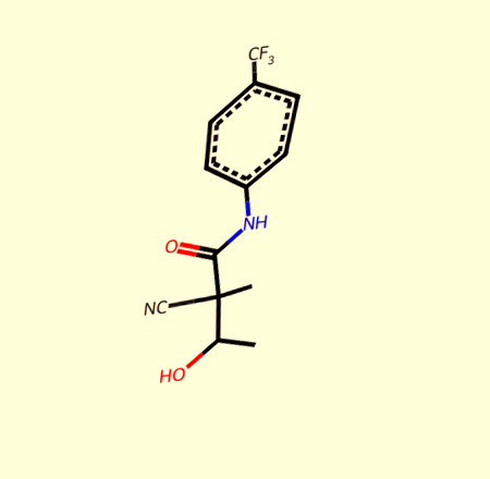 CC(O)C(C)(C#N)C(=O)Nc1ccc(C(F)(F)F)cc1